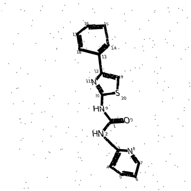 O=C(Nc1ccccn1)Nc1nc(-c2ccccc2)cs1